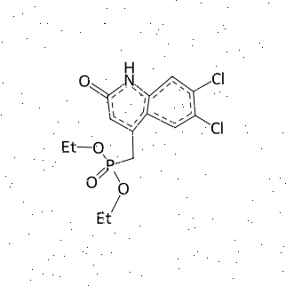 CCOP(=O)(Cc1cc(=O)[nH]c2cc(Cl)c(Cl)cc12)OCC